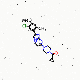 COc1cc(C)c(-c2cn3ccc(N4CCN(C(=O)C5CC5)CC4)nc3n2)cc1Cl